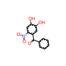 O=C(c1ccccc1)c1cc(O)c(O)cc1[N+](=O)[O-]